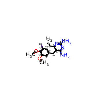 CCc1nc(N)nc(N)c1Cc1cc(I)c(OC)c(OC)c1